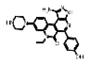 CCn1c(=O)c2c(-c3ccc(O)cc3)nc3[nH]nc(N)c3c2c2ccc(N3CCNCC3)cc21